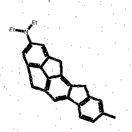 CCN(CC)c1cc2c3c(c1)Cc1c4c(cc(c1-3)C2)-c1ccc(C)cc1C4